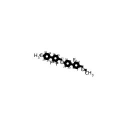 CCOCc1ccc(-c2ccc(OCc3ccc(-c4ccc(C)cc4)c(F)c3F)cc2)c(F)c1